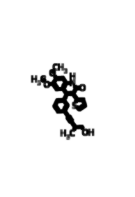 COc1cc2[nH]c(=O)c(-c3cccs3)c(-c3cccc(C#CC(C)CO)c3)c2cc1OC